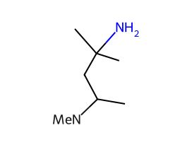 CNC(C)CC(C)(C)N